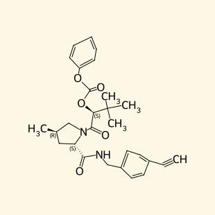 C#Cc1ccc(CNC(=O)[C@@H]2C[C@@H](C)CN2C(=O)[C@@H](OC(=O)Oc2ccccc2)C(C)(C)C)cc1